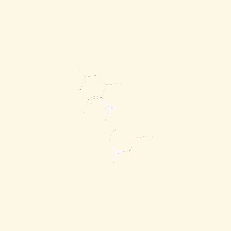 Cc1cc(Br)c(NCCCN(C)C(=O)OC(C)(C)C)c([N+](=O)[O-])c1